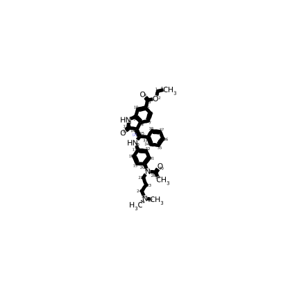 CCOC(=O)c1ccc2c(c1)NC(=O)/C2=C(\Nc1ccc(N(CCCN(C)C)C(C)=O)cc1)c1ccccc1